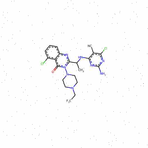 CC(Nc1nc(N)nc(Cl)c1C#N)c1nc2cccc(Cl)c2c(=O)n1N1CCN(CC(F)(F)F)CC1